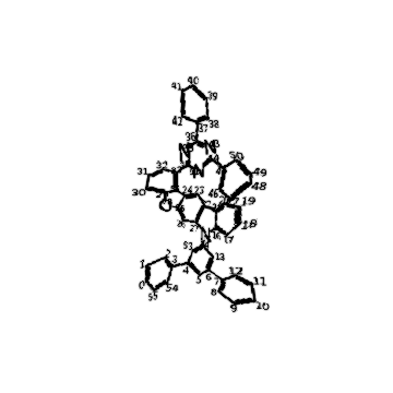 c1ccc(-c2cc(-c3ccccc3)cc(-n3c4ccccc4c4cc5c(cc43)oc3cccc(-c4nc(-c6ccccc6)nc(-c6ccccc6)n4)c35)c2)cc1